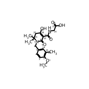 COc1ccc(CN2C(=O)C(C(=O)NCC(=O)O)=C(O)CC2(C)C)cc1C